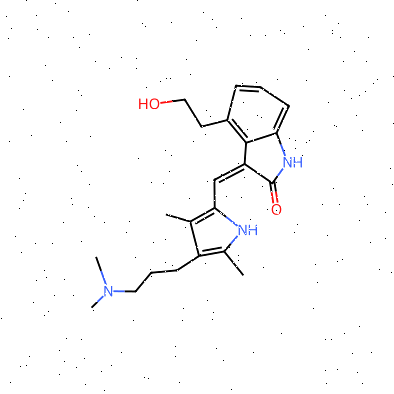 Cc1[nH]c(/C=C2\C(=O)Nc3cccc(CCO)c32)c(C)c1CCCN(C)C